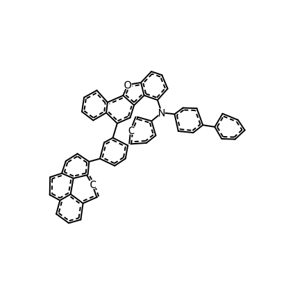 c1ccc(-c2ccc(N(c3ccccc3)c3cccc4oc5c6ccccc6c(-c6cccc(-c7ccc8ccc9cccc%10ccc7c8c9%10)c6)cc5c34)cc2)cc1